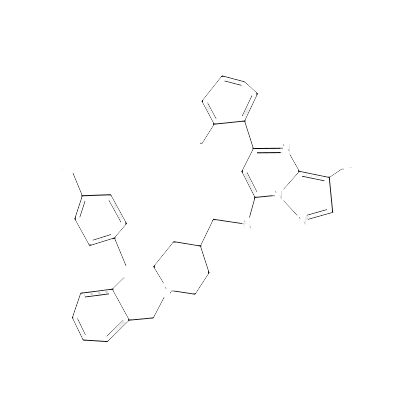 Clc1ccc(Sc2ccccc2CN2CCC(CNc3cc(-c4ccccc4Cl)nc4c(Br)cnn34)CC2)cc1